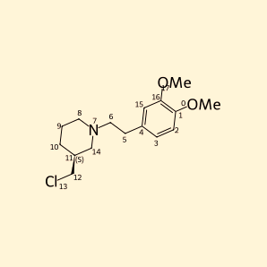 COc1ccc(CCN2CCC[C@H](CCl)C2)cc1OC